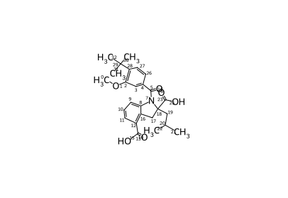 COc1cc(C(=O)N2c3cccc(C(=O)O)c3CC2(CC(C)C)C(=O)O)ccc1C(C)(C)C